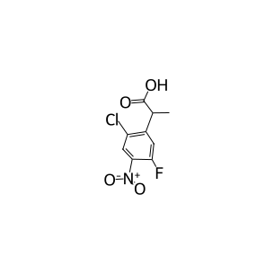 CC(C(=O)O)c1cc(F)c([N+](=O)[O-])cc1Cl